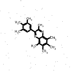 Cc1cc(-c2nc3c(C)c(C)c(C)c(C)c3nc2C)cc(C)c1C